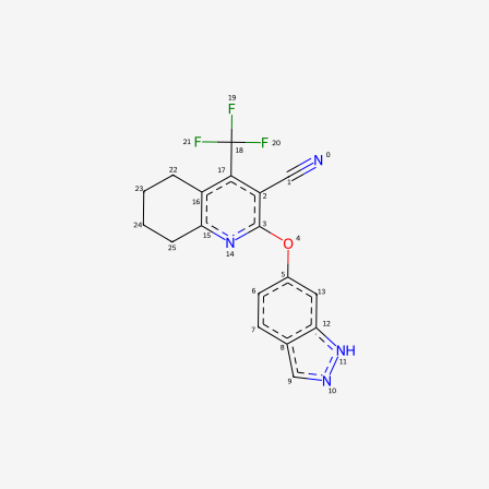 N#Cc1c(Oc2ccc3cn[nH]c3c2)nc2c(c1C(F)(F)F)CCCC2